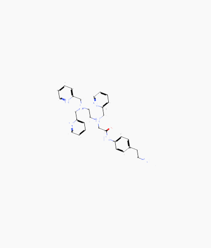 NCCc1ccc(NC(=O)CN(CCN(Cc2ccccn2)Cc2ccccn2)Cc2ccccn2)cc1